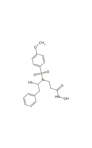 COc1ccc(S(=O)(=O)N(CCC(=O)NO)C(S)Cc2ccccc2)cc1